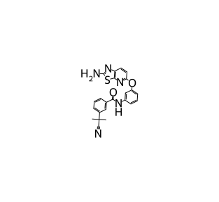 CC(C)(C#N)c1cccc(C(=O)Nc2cccc(Oc3ccc4nc(N)sc4n3)c2)c1